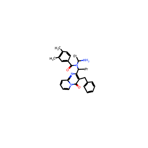 CCC(N)N(C(=O)c1ccc(C)c(C)c1)C(c1nc2ccccn2c(=O)c1Cc1ccccc1)C(C)C